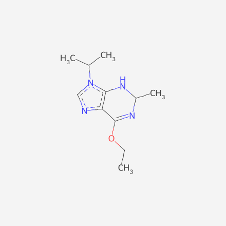 CCOC1=NC(C)Nc2c1ncn2C(C)C